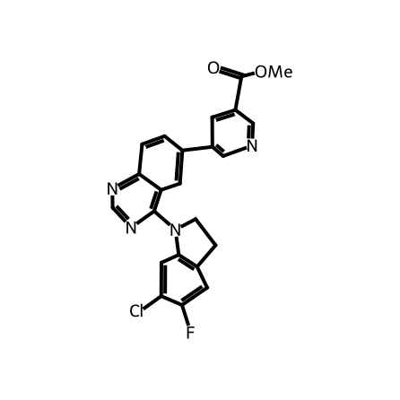 COC(=O)c1cncc(-c2ccc3ncnc(N4CCc5cc(F)c(Cl)cc54)c3c2)c1